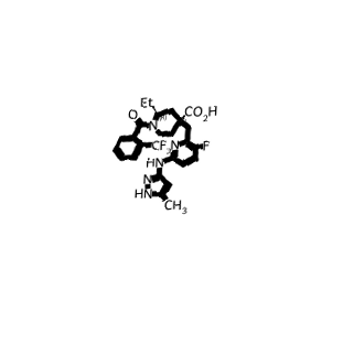 CC[C@@H]1C[C@](Cc2nc(Nc3cc(C)[nH]n3)ccc2F)(C(=O)O)CCN1C(=O)c1ccccc1C(F)(F)F